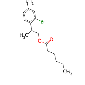 CCCCCC(=O)OCC(C)c1ccc(C)cc1Br